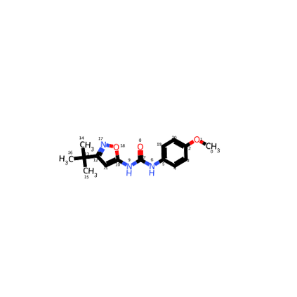 COc1ccc(NC(=O)Nc2cc(C(C)(C)C)no2)cc1